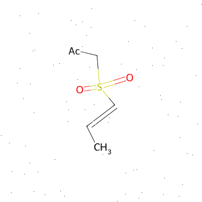 CC=CS(=O)(=O)CC(C)=O